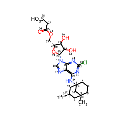 CCC[C@@H]1C[C@]2(C)CCC[C@](Nc3nc(Cl)nc4c3ncn4[C@@H]3O[C@H](COC(=O)CS(=O)(=O)O)C(O)C3O)(C1)C2